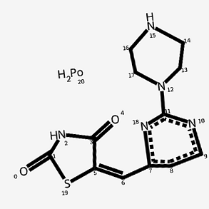 O=C1NC(=O)/C(=C\c2ccnc(N3CCNCC3)n2)S1.[PoH2]